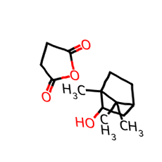 CC1(C)C2CCC1(C)C(O)C2.O=C1CCC(=O)O1